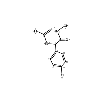 NC(=O)NC(C(=O)NO)c1ccc(Cl)cc1